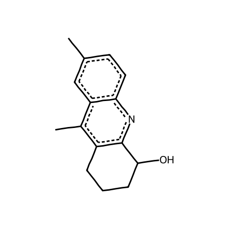 Cc1ccc2nc3c(c(C)c2c1)CCCC3O